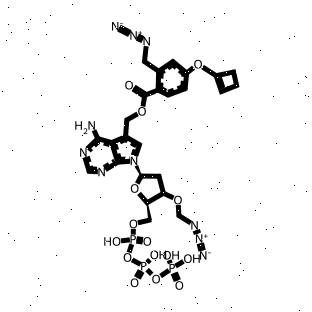 [N-]=[N+]=NCOC1C[C@H](n2cc(COC(=O)c3ccc(OC4=CCC4)cc3CN=[N+]=[N-])c3c(N)ncnc32)O[C@@H]1COP(=O)(O)OP(=O)(O)OP(=O)(O)O